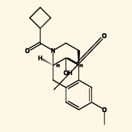 COc1ccc2c(c1)[C@]13CCN(C(=O)C4CCC4)[C@H](C2)C1(O)CCC(=O)C3